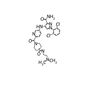 CN(C)CCN=S1(=O)CCN(C(=O)c2ccc(Nc3cn(-c4c(Cl)cccc4Cl)nc3C(N)=O)cn2)CC1